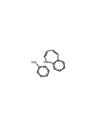 C1=CNc2ccccc2C=C1.Oc1ccccc1